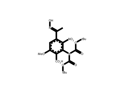 COc1cc(C(C)=NO)c([N+](=O)[O-])c(N(C(=O)OC(C)(C)C)C(=O)OC(C)(C)C)c1C(=O)O